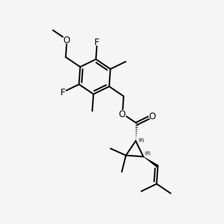 COCc1c(F)c(C)c(COC(=O)[C@@H]2[C@@H](C=C(C)C)C2(C)C)c(C)c1F